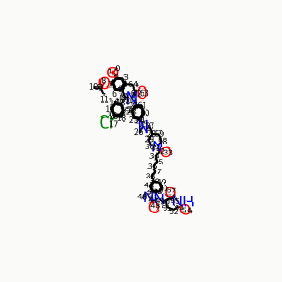 COc1cc2c(cc1OC(C)C)[C@H](c1ccc(Cl)cc1)N(c1ccc(N(C)CC3CCN(C(=O)CCCCCc4ccc5c(c4)n(C)c(=O)n5C4CCC(=O)NC4=O)CC3)cc1)C(=O)C2